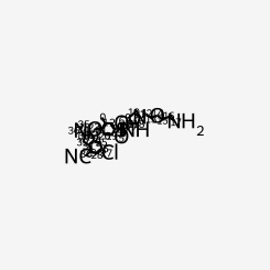 Cc1cc(S(=O)(=O)N[C@H]2CCN(CCOCCN)C2)ccc1O[C@H]1c2cc(Cl)cc(C#N)c2C[C@@H]1N(C)C